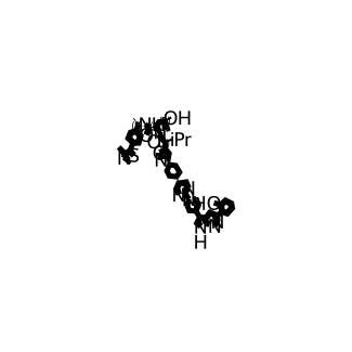 Cc1ncsc1-c1ccc([C@H](C)NC(=O)[C@@H]2C[C@@H](O)CN2C(=O)[C@H](c2cc([C@H]3CC[C@@H](c4cnc(N5CCC(c6c[nH]c7nnc(-c8ccccc8O)cc67)CC5)nc4)CC3)no2)C(C)C)cc1